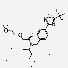 CCC(C)N(Cc1ccc(-c2noc(C(C)(F)F)n2)cc1)C(=O)COCCOC